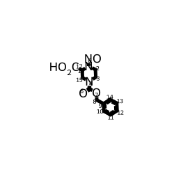 O=NN1CCN(C(=O)OCc2ccccc2)CC1C(=O)O